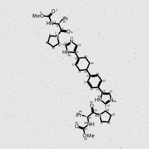 COC(=O)N[C@H](C(=O)N1CCC[C@H]1c1ncc(C2=CCC(c3ccc(-c4cnc([C@@H]5CCCN5C(=O)[C@@H](NC(=O)OC)C(C)C)[nH]4)cc3)CC2)[nH]1)C(C)C